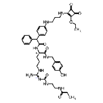 CCOc1c(NCCCNc2ccc(C(C(=O)N[C@H](CCCN/C(N)=N\C(=O)NCCNC(=O)CC)C(=O)NCc3ccc(O)cc3)c3ccccc3)cc2)c(=O)c1=O